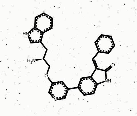 N[C@H](COc1cncc(-c2ccc3c(c2)C(=Cc2ccccc2)C(=O)N3)c1)Cc1c[nH]c2ccccc12